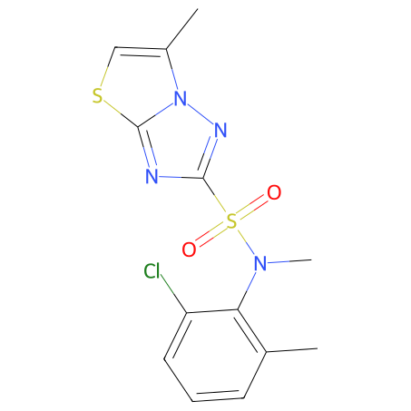 Cc1cccc(Cl)c1N(C)S(=O)(=O)c1nc2scc(C)n2n1